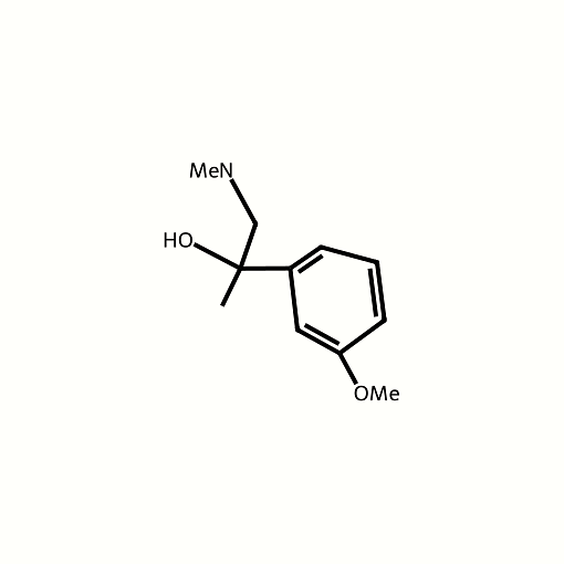 CNCC(C)(O)c1cccc(OC)c1